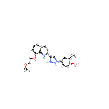 COCCOc1cccc2ccc(-c3cn(-c4ccc(O)c(C)c4)nn3)nc12